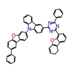 C1=Cc2oc3c(-c4nc(-c5ccccc5)nc(-c5ccc6c(c5)c5ccccc5n6-c5ccc6c(c5)oc5ccc(-c7ccccc7)cc56)n4)cccc3c2CC1